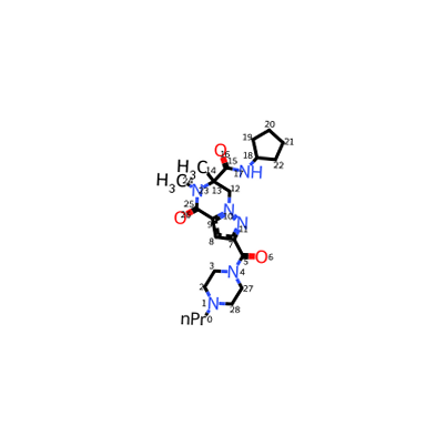 CCCN1CCN(C(=O)c2cc3n(n2)CC(C)(C(=O)NC2CCCC2)N(C)C3=O)CC1